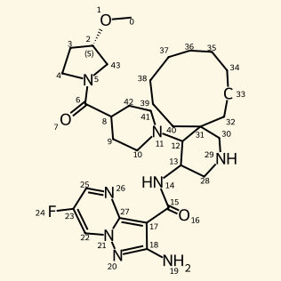 CO[C@H]1CCN(C(=O)C2CCN(C3C(NC(=O)c4c(N)nn5cc(F)cnc45)CNCC34CCCCCCCCC4)CC2)C1